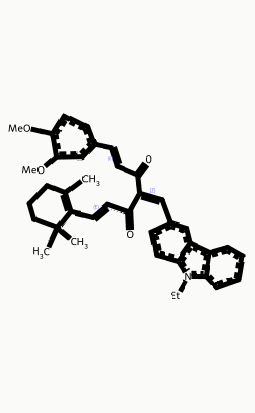 CCn1c2ccccc2c2cc(/C=C(\C(=O)/C=C/C3=C(C)CCCC3(C)C)C(=O)/C=C/c3ccc(OC)c(OC)c3)ccc21